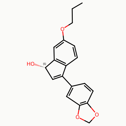 CCCOc1ccc2c(c1)[C@@H](O)C=C2c1ccc2c(c1)OCO2